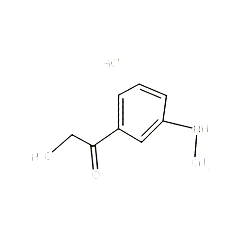 CCC(=O)c1cccc(NC)c1.Cl